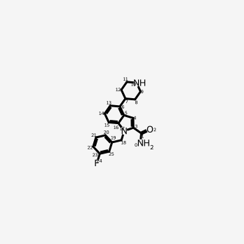 NC(=O)c1cc2c(C3CCNCC3)cccc2n1Cc1cccc(F)c1